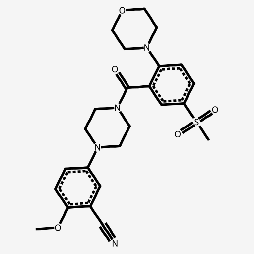 COc1ccc(N2CCN(C(=O)c3cc(S(C)(=O)=O)ccc3N3CCOCC3)CC2)cc1C#N